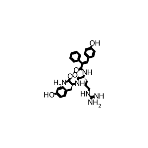 N=C(N)NCCC[C@@H](NC(=O)/C(=C/c1ccc(O)cc1)c1ccccc1)C(=O)N[C@@H](Cc1ccc(O)cc1)C(N)=O